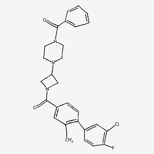 Cc1cc(C(=O)N2CC(N3CCN(C(=O)c4ccccc4)CC3)C2)ccc1-c1ccc(F)c(Cl)c1